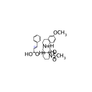 COc1ccc2c(c1)CCN1C[C@H]3CCCN(S(C)(=O)=O)[C@H]3C[C@@H]21.O=C(O)/C=C/c1ccccc1